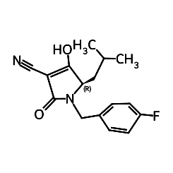 CC(C)C[C@@H]1C(O)=C(C#N)C(=O)N1Cc1ccc(F)cc1